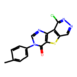 Cc1ccc(-n2cnc3c(sc4cnnc(Cl)c43)c2=O)cc1